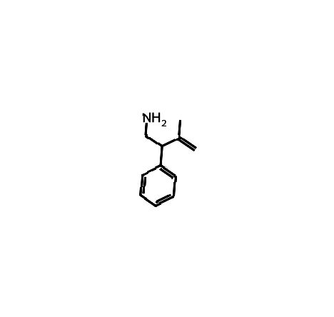 C=C(C)C(CN)c1ccccc1